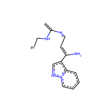 C=C(/N=C\C=C(/N)c1cnn2ccccc12)NCC(C)C